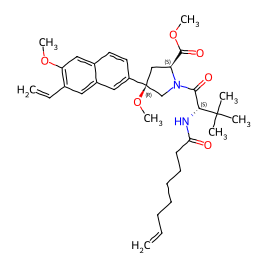 C=CCCCCCC(=O)N[C@H](C(=O)N1C[C@](OC)(c2ccc3cc(OC)c(C=C)cc3c2)C[C@H]1C(=O)OC)C(C)(C)C